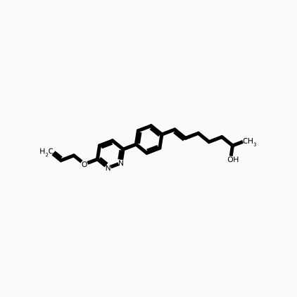 C=CCOc1ccc(-c2ccc(C=CCCCC(C)O)cc2)nn1